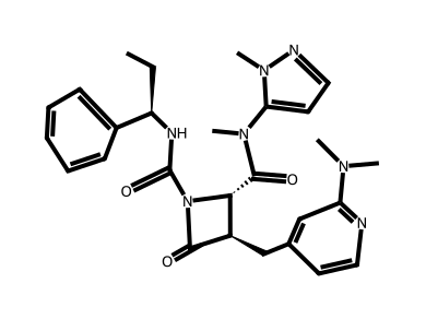 CC[C@@H](NC(=O)N1C(=O)[C@H](Cc2ccnc(N(C)C)c2)[C@H]1C(=O)N(C)c1ccnn1C)c1ccccc1